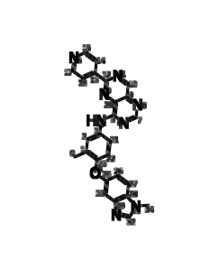 Cc1cc(Nc2ncnc3cnc(-c4ccncc4)nc23)ccc1Oc1ccc2c(c1)ncn2C